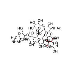 CC(=O)NC1C(O)[C@H](O[C@@H]2OC(CO)[C@H](O)C(O)C2O)C(CO)O[C@H]1OC1C(O)[C@H](O)C(CO)O[C@@H]1OCC1O[C@@H](O[C@@H]2C(CO)O[C@@H](O[C@@H]3C(CO)O[C@@H](C)C(NC(C)=O)C3O)C(NC(C)=O)C2O)C(O)C(O[C@H]2OC(CO)[C@@H](O)C(O)C2O)[C@@H]1O